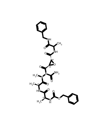 CC(NC(=O)[C@@H]1O[C@H]1C(=O)N(C(N)=O)N(C)C(=O)[C@H](C)NC(=O)[C@H](C)NC(=O)OCc1ccccc1)C(=O)NCc1ccccc1